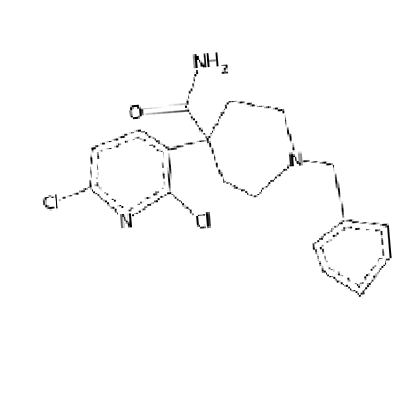 NC(=O)C1(c2ccc(Cl)nc2Cl)CCN(Cc2ccccc2)CC1